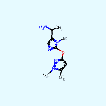 CCn1c(C(C)N)cnc1Oc1cc(C(F)(F)F)n(C)n1